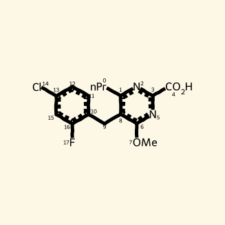 CCCc1nc(C(=O)O)nc(OC)c1Cc1ccc(Cl)cc1F